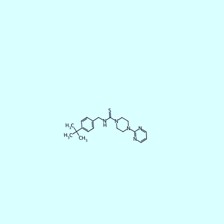 CC(C)(C)c1ccc(CNC(=S)N2CCN(c3ncccn3)CC2)cc1